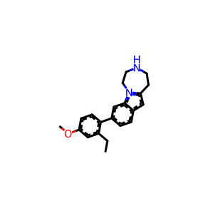 CCc1cc(OC)ccc1-c1ccc2cc3n(c2c1)CCNCC3